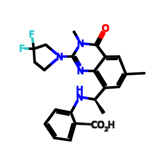 Cc1cc([C@@H](C)Nc2ccccc2C(=O)O)c2nc(N3CCC(F)(F)C3)n(C)c(=O)c2c1